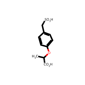 CC(Oc1ccc(CS(=O)(=O)O)cc1)C(=O)O